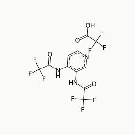 O=C(Nc1ccncc1NC(=O)C(F)(F)F)C(F)(F)F.O=C(O)C(F)(F)F